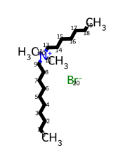 CCCCCCCCCC[N+](C)(C)CCCCCCC.[Br-]